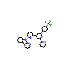 FC(F)(F)c1ccc(-c2cc(-c3cccc(-n4c5ccccc5c5cccnc54)n3)cc(-c3ccccn3)n2)cc1